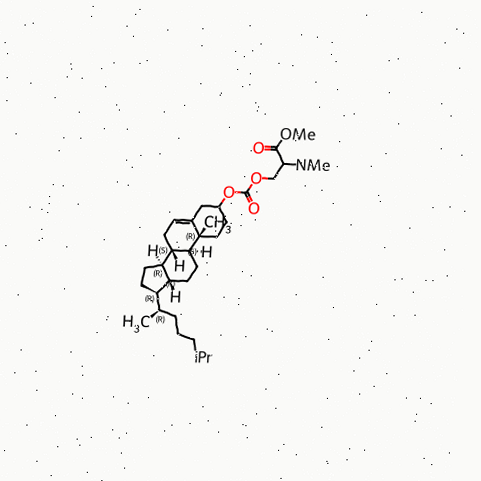 CNC(COC(=O)OC1CC[C@@]2(C)C(=CC[C@H]3[C@@H]4CC[C@H]([C@H](C)CCCC(C)C)[C@H]4CC[C@@H]32)C1)C(=O)OC